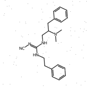 CN(C)C(CN/C(=N/C#N)NCCc1ccccc1)Cc1ccccc1